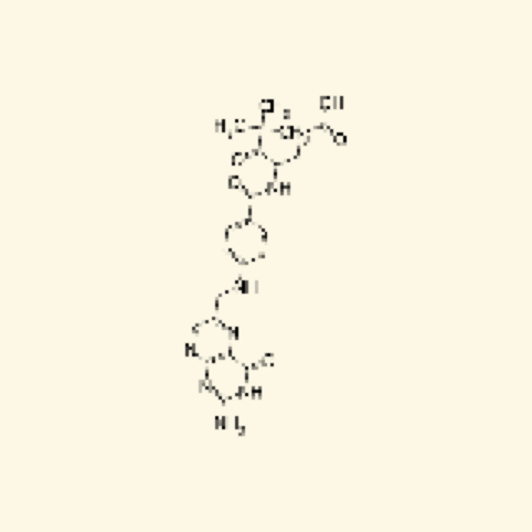 CC(C)(C)C(=O)C(CCC(=O)O)NC(=O)c1ccc(NCc2cnc3nc(N)[nH]c(=O)c3n2)cc1